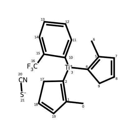 CC1=[C]([Ti+]([C]2=C(C)C=CC2)[c]2ccccc2C(F)(F)F)CC=C1.N#C[S-]